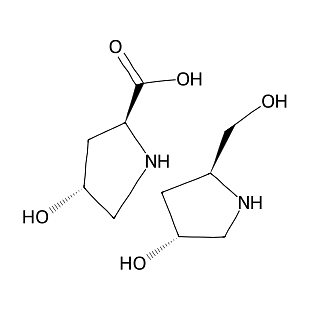 O=C(O)[C@@H]1C[C@@H](O)CN1.OC[C@@H]1C[C@@H](O)CN1